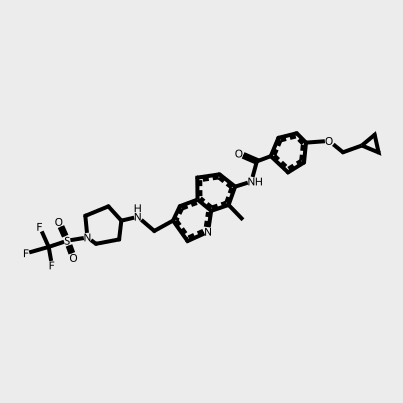 Cc1c(NC(=O)c2ccc(OCC3CC3)cc2)ccc2cc(CNC3CCN(S(=O)(=O)C(F)(F)F)CC3)cnc12